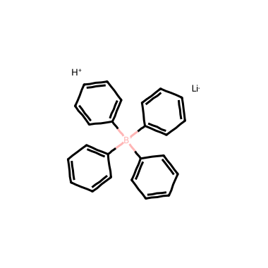 [H+].[Li].c1ccc([B-](c2ccccc2)(c2ccccc2)c2ccccc2)cc1